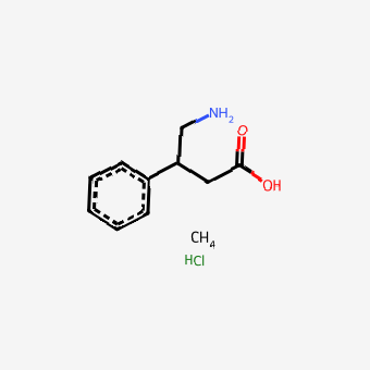 C.Cl.NCC(CC(=O)O)c1ccccc1